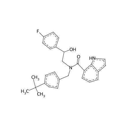 CC(C)(C)c1ccc(CN(CC(O)c2ccc(F)cc2)C(=O)c2cccc3cc[nH]c23)cc1